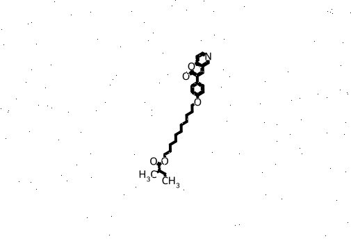 CCC(C)C(=O)OCCCCCCCCCCCOc1ccc(-c2cc3cnccc3oc2=O)cc1